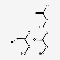 O=C([O-])OO.O=C([O-])OO.O=C([O-])OO.[Tb+3]